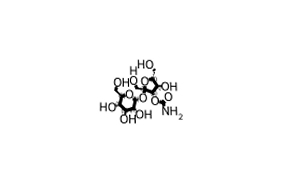 NC(=O)O[C@H]1[C@H](O)[C@@H](CO)O[C@@]1(CO)O[C@H]1O[C@H](CO)[C@@H](O)[C@H](O)[C@H]1O